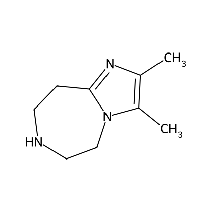 Cc1nc2n(c1C)CCNCC2